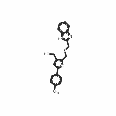 OCc1cc(-c2ccc(C(F)(F)F)cc2)oc1CSCc1nc2ccccc2[nH]1